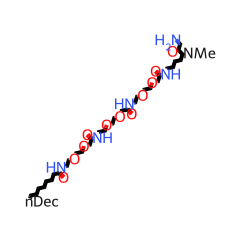 CCCCCCCCCCCCCCCCCC(=O)NCCOCCOCC(=O)NCCOCCOCC(=O)NCCOCCOCC(=O)NCCCC[C@H](NC)C(=O)CN